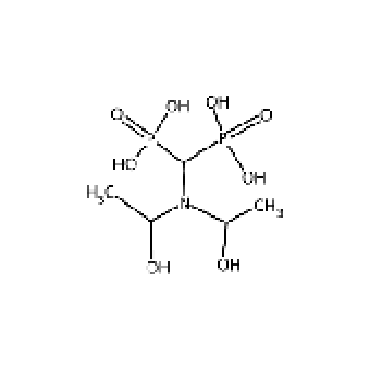 CC(O)N(C(C)O)C(P(=O)(O)O)P(=O)(O)O